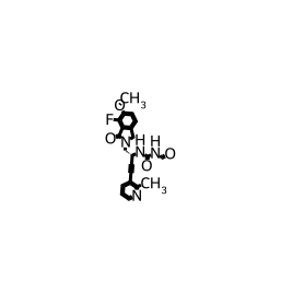 COc1ccc2c(c1F)C(=O)N(C[C@@H](C#Cc1cccnc1C)NC(=O)NC=O)C2